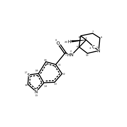 O=C(N[C@H]1CN2CCC1CC2)c1ccc2ncsc2c1